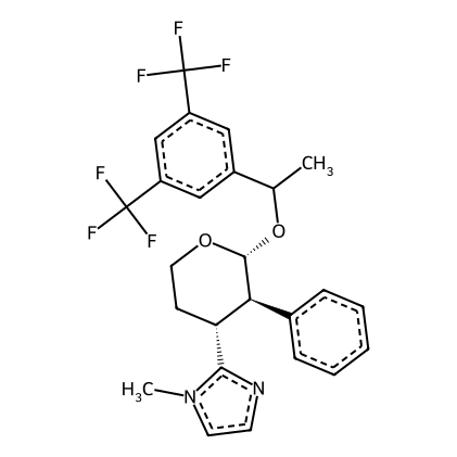 CC(O[C@H]1OCC[C@@H](c2nccn2C)[C@@H]1c1ccccc1)c1cc(C(F)(F)F)cc(C(F)(F)F)c1